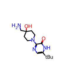 CC(C)(C)c1cnc(N2CCC(O)(CN)CC2)c(=O)[nH]1